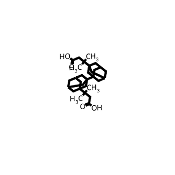 CC(C)(CC(=O)O)C12CC3CC(C1)CC(C14CC5CC(CC(C(C)(C)CC(=O)O)(C5)C1)C4)(C3)C2